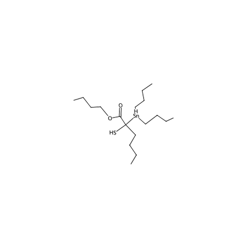 CCCCOC(=O)[C](S)(CCCC)[SnH]([CH2]CCC)[CH2]CCC